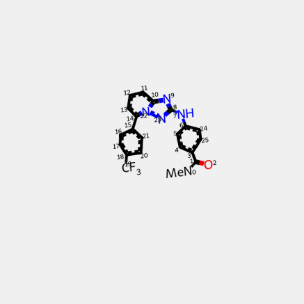 CNC(=O)c1ccc(Nc2nc3cccc(-c4ccc(C(F)(F)F)cc4)n3n2)cc1